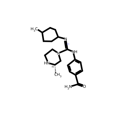 CC1CCC(/N=C(/Nc2ccc(C(N)=O)cc2)N2CCN[C@@H](C)C2)CC1